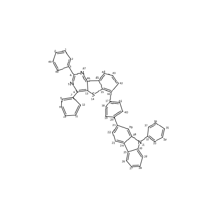 c1ccc(-c2nc(-c3ccccc3)c3sc4c(-c5ccc(-c6ccc7c8ccccc8n(-c8ccccc8)c7c6)cc5)cccc4c3n2)cc1